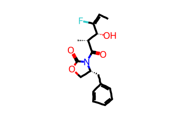 C/C=C(/F)[C@H](O)[C@@H](C)C(=O)N1C(=O)OC[C@H]1Cc1ccccc1